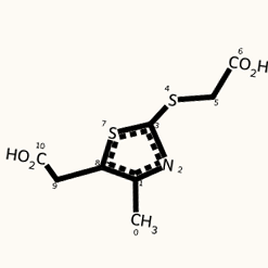 Cc1nc(SCC(=O)O)sc1CC(=O)O